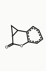 O=C1Oc2ccccc2C2C[C]12